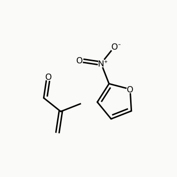 C=C(C)C=O.O=[N+]([O-])c1ccco1